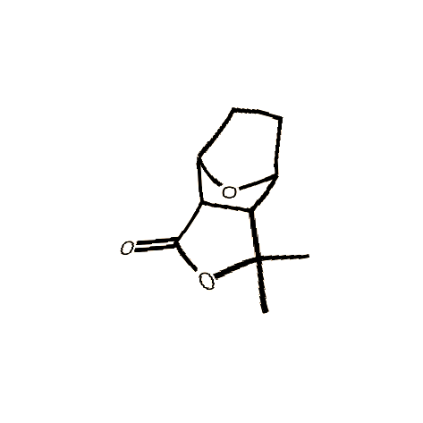 CC1(C)OC(=O)C2C3CCC(O3)C21